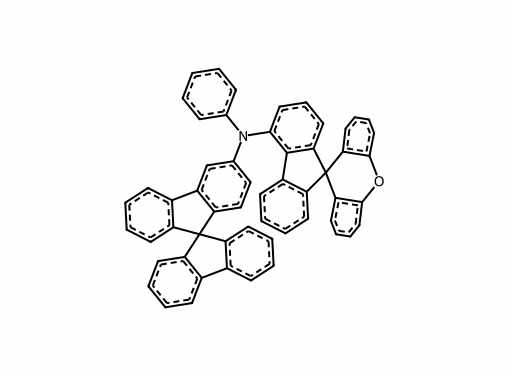 c1ccc(N(c2ccc3c(c2)-c2ccccc2C32c3ccccc3-c3ccccc32)c2cccc3c2-c2ccccc2C32c3ccccc3Oc3ccccc32)cc1